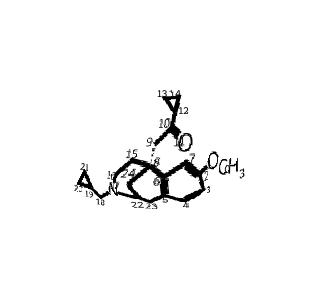 COc1ccc2c(c1)[C@]1(CC(=O)C3CC3)CCN(CC3CC3)C(C2)C1